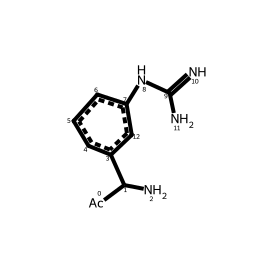 CC(=O)C(N)c1cccc(NC(=N)N)c1